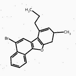 CCCC1=CC(C)Cc2oc3c(cc(Br)c4ccccc43)c21